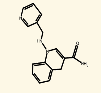 NC(=O)C1=CN(NCc2cccnc2)c2ccccc2C1